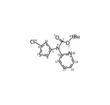 CC(C)(C)OC(=O)N(c1csc(Cl)c1)c1ccccn1